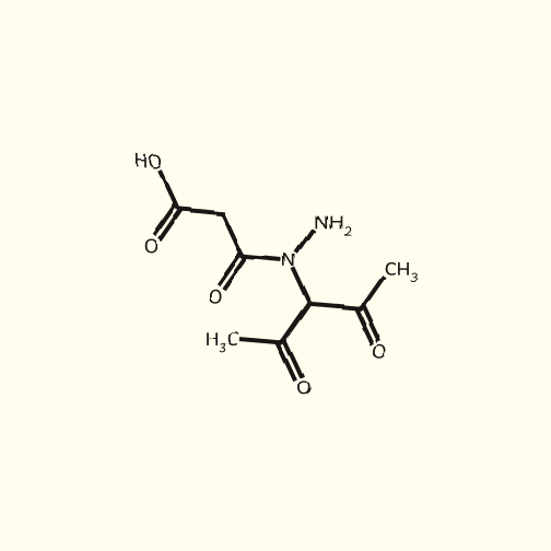 CC(=O)C(C(C)=O)N(N)C(=O)CC(=O)O